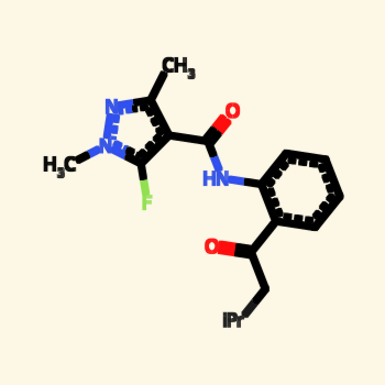 Cc1nn(C)c(F)c1C(=O)Nc1ccccc1C(=O)CC(C)C